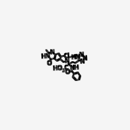 C#CCN(Cc1cc2c(=O)[nH]c(C)nc2cc1Cl)C(CCc1nnn[nH]1)(NC(=O)c1ccccc1)C(=O)O